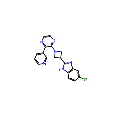 Clc1ccc2[nH]c(C3CN(c4nccnc4-c4cccnc4)C3)nc2c1